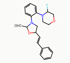 O=CC1OC(C=Cc2ccccc2)CN1c1ccccc1N1CCOCC1F